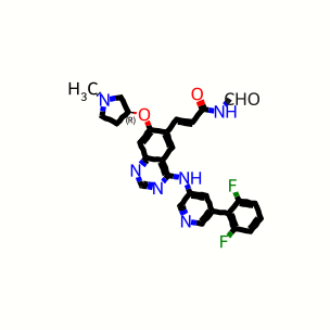 CN1CC[C@@H](Oc2cc3ncnc(Nc4cncc(-c5c(F)cccc5F)c4)c3cc2C=CC(=O)NC=O)C1